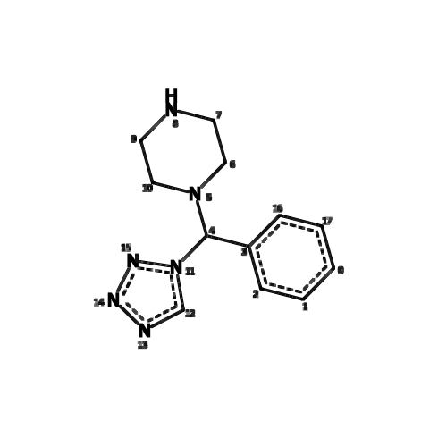 c1ccc(C(N2CCNCC2)n2cnnn2)cc1